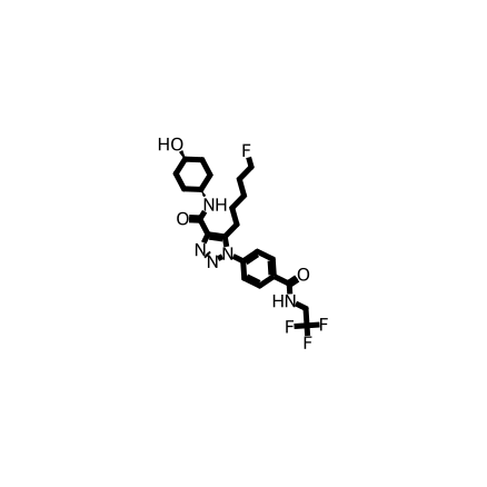 O=C(NCC(F)(F)F)c1ccc(-n2nnc(C(=O)N[C@H]3CC[C@H](O)CC3)c2CCCCCF)cc1